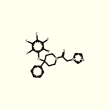 Fc1c(F)c(F)c(OC2(c3ccccc3)CCN(C(=S)Cn3ccnc3)CC2)c(F)c1F